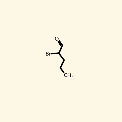 CCCC(Br)C=O